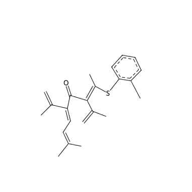 C=C(C)/C(=C\C=C(C)C)C(=O)/C(C(=C)C)=C(\C)Sc1ccccc1C